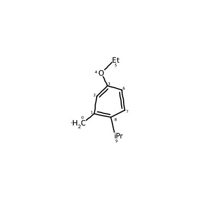 [CH2]c1cc(OCC)ccc1C(C)C